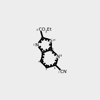 CCOC(=O)c1nc2ccc(C#N)nc2s1